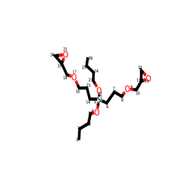 CCCCO[Si](CCCOCC1CO1)(CCCOCC1CO1)OCCCC